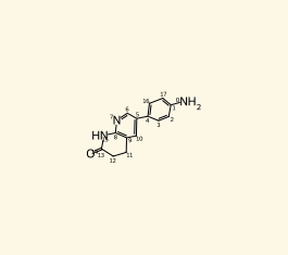 Nc1ccc(-c2cnc3c(c2)CCC(=O)N3)cc1